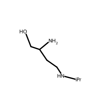 CC(C)NCCC(N)CO